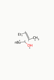 CC=CCC.CCCCCO